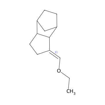 CCO/C=C1\CCC2C3CCC(C3)C12